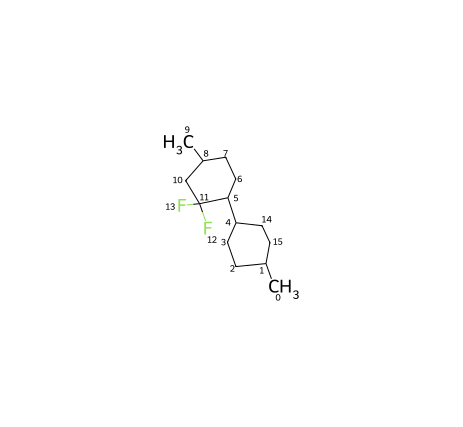 CC1CCC(C2CCC(C)CC2(F)F)CC1